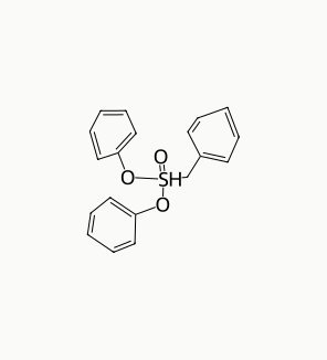 O=[SH](Cc1ccccc1)(Oc1ccccc1)Oc1ccccc1